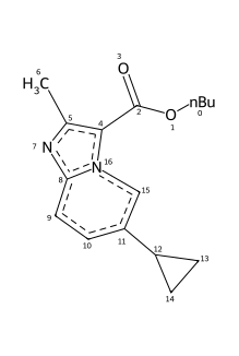 CCCCOC(=O)c1c(C)nc2ccc(C3CC3)cn12